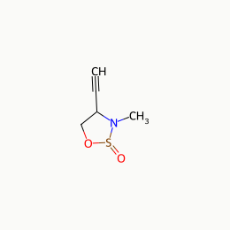 C#CC1COS(=O)N1C